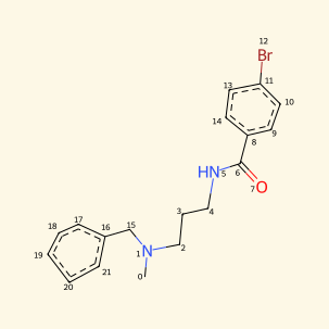 CN(CCCNC(=O)c1ccc(Br)cc1)Cc1ccccc1